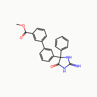 COC(=O)c1cccc(-c2cccc(C3(c4ccccc4)NC(=N)NC3=O)c2)c1